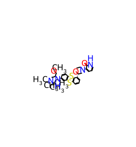 COCC(CN(C(C)C)C(C)C)Nc1ccc2c(c1)Sc1cccc([C@H]3CN(c4ccc[nH]c4=O)CCO3)c1S2